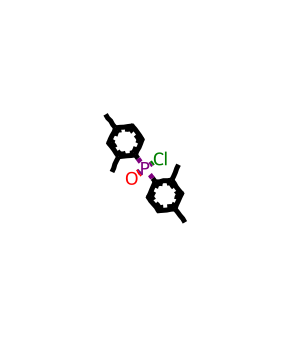 Cc1ccc(P(=O)(Cl)c2ccc(C)cc2C)c(C)c1